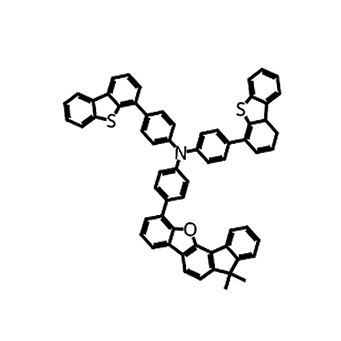 CC1(C)c2ccccc2-c2c1ccc1c2oc2c(-c3ccc(N(c4ccc(C5=C6Sc7ccccc7C6CC=C5)cc4)c4ccc(-c5cccc6c5sc5ccccc56)cc4)cc3)cccc21